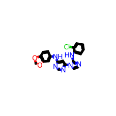 Clc1ccccc1Nc1nccn1-c1cc(Nc2ccc3c(c2)OCO3)ncn1